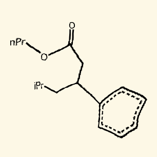 CCCOC(=O)CC(CC(C)C)c1ccccc1